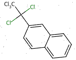 ClC(Cl)(Cl)C(Cl)(Cl)c1c[c]c2ccccc2c1